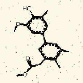 COC(=O)Cc1cc(-c2cc(C)c(O)c(OC)c2)cc(C)c1C